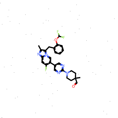 Cc1nc2cc(F)c(-c3cnc(N4CCC(C)(C=O)CC4)nc3)cn2c1Cc1ccccc1OC(F)F